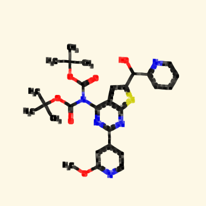 COc1cc(-c2nc(N(C(=O)OC(C)(C)C)C(=O)OC(C)(C)C)c3cc(C(O)c4ccccn4)sc3n2)ccn1